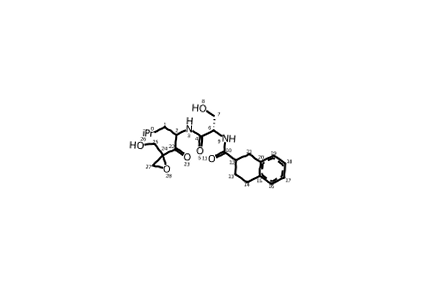 CC(C)CC(NC(=O)[C@H](CO)NC(=O)C1CCc2ccccc2C1)C(=O)C1(CO)CO1